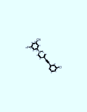 C=C(C#Cc1cccc(Cl)c1)/C=C\N(C)c1cc(F)cc(C#N)c1